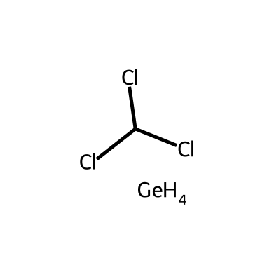 ClC(Cl)Cl.[GeH4]